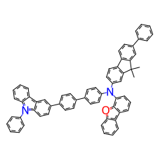 CC1(C)c2cc(-c3ccccc3)ccc2-c2ccc(N(c3ccc(-c4ccc(-c5ccc6c(c5)c5ccccc5n6-c5ccccc5)cc4)cc3)c3cccc4c3oc3ccccc34)cc21